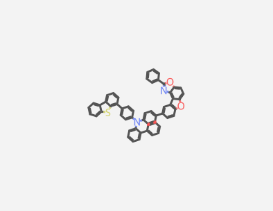 c1ccc(-c2nc3c(ccc4oc5ccc(-c6ccc(N(c7ccc(-c8cccc9c8sc8ccccc89)cc7)c7ccccc7-c7ccccc7)cc6)cc5c43)o2)cc1